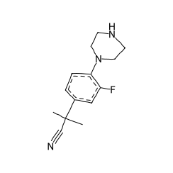 CC(C)(C#N)c1ccc(N2CCNCC2)c(F)c1